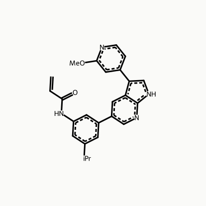 C=CC(=O)Nc1cc(-c2cnc3[nH]cc(-c4ccnc(OC)c4)c3c2)cc(C(C)C)c1